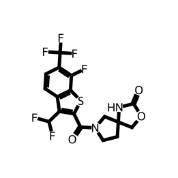 O=C1NC2(CCN(C(=O)c3sc4c(F)c(C(F)(F)F)ccc4c3C(F)F)C2)CO1